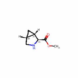 COC(=O)[C@H]1NC[C@@H]2C[C@@H]21